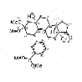 COC(OC)c1ccc([C@H]2C[C@]3(C)C(=O)CC[C@H]3[C@@H]3CC[C@]4(O)CC(OC)(OC)CCC4=C32)cc1